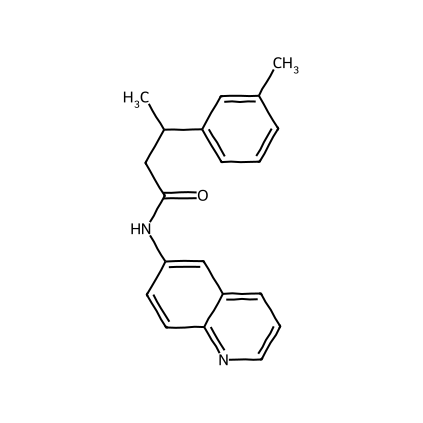 Cc1cccc(C(C)CC(=O)Nc2ccc3ncccc3c2)c1